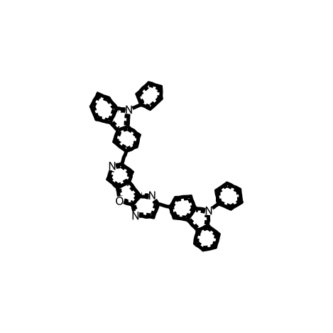 c1ccc(-n2c3ccccc3c3cc(-c4cc5c(cn4)oc4ncc(-c6ccc7c(c6)c6ccccc6n7-c6ccccc6)nc45)ccc32)cc1